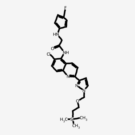 C[Si](C)(C)CCOCn1ccc(-c2ccc3c(NC(=O)CNc4ccc(F)cc4)c(Cl)ccc3n2)n1